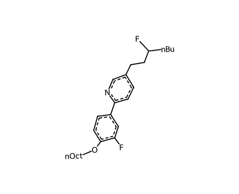 CCCCCCCCOc1ccc(-c2ccc(CCC(F)CCCC)cn2)cc1F